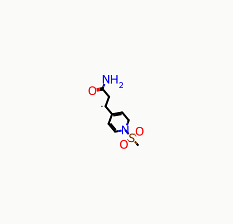 CS(=O)(=O)N1C=CC([CH]CC(N)=O)=CC1